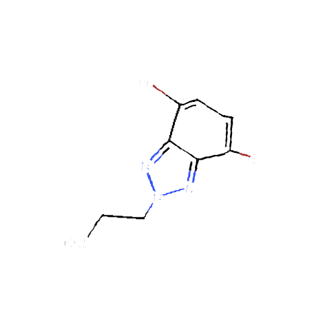 CCCCCCCCCCn1nc2c(Br)ccc(Br)c2n1